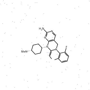 C/C=C1\N(c2c(C)cccc2F)Cc2cnc(N)nc2N1[C@H]1CC[C@@H](NC)CC1